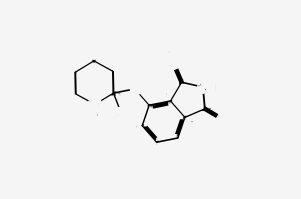 O=C1NC(=O)c2c(SC3(Cl)CCCCO3)cccc21